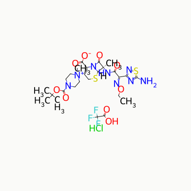 CCON=C(C(=O)N[C@]1(C)C(=O)N2C(C(=O)[O-])=C([N+]3(C)CCN(C(=O)OC(C)(C)C)CC3)CS[C@H]21)c1nsc(N)n1.Cl.O=C(O)C(F)(F)F